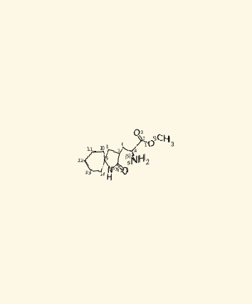 COC(=O)[C@@H](N)CC1CC2(CCCCC2)NC1=O